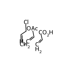 C=CC(=O)O.C=CCCl.C=COC(C)=O